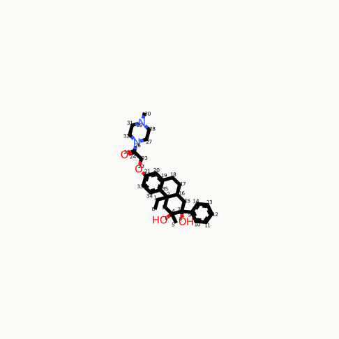 CCC12CC(C)(O)C(O)(c3ccccc3)CC1CCc1cc(OCC(=O)N3CCN(C)CC3)ccc12